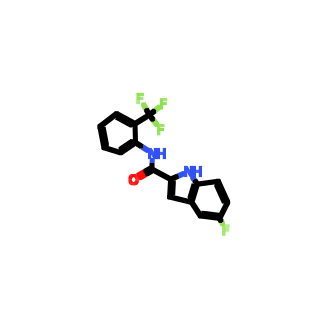 O=C(Nc1ccccc1C(F)(F)F)c1cc2cc(F)ccc2[nH]1